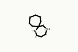 C1CCCC2(CC1)CNCCC[N]2